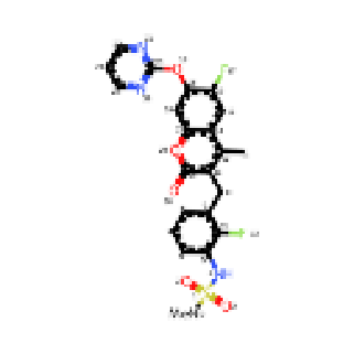 CNS(=O)(=O)Nc1cccc(Cc2c(C)c3cc(F)c(Oc4ncccn4)cc3oc2=O)c1F